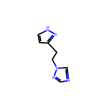 c1ncn(CCc2cc[nH]n2)n1